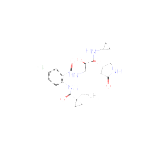 O=C(NC1CC1)C(=O)[C@H](C[C@@H]1CCNC1=O)NC(=O)c1cc(Cl)ccc1NC(=O)C1(CC(F)(F)F)CC1